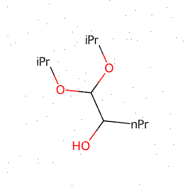 CCCC(O)C(OC(C)C)OC(C)C